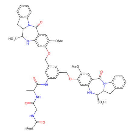 CCCCCC(=O)NCC(=O)NC(C)C(=O)Nc1cc(COc2cc3c(cc2OC)C(=O)N2c4ccccc4CC2C(S(=O)(=O)O)N3)cc(COc2cc3c(cc2OC)C(=O)N2c4ccccc4CC2[C@@H](S(=O)(=O)O)N3)c1